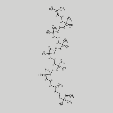 C=CC(C)(O)CC/C=C(\C)CCCC(C)(O)CCCC(C)(O)CCCC(C)(O)CCCC(C)(O)CCCC(C)(O)CCCC(C)(O)CCC=C(C)C